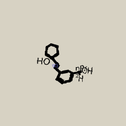 [2H]C(O)(CCC)c1cccc(/C=C/C2(O)CCCCC2)c1